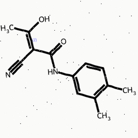 C/C(O)=C(\C#N)C(=O)Nc1ccc(C)c(C)c1